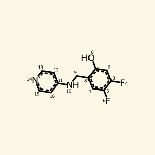 Oc1cc(F)c(F)cc1CNc1ccncc1